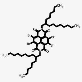 CCCCCCCCC(CCCCCC)CN1C(=O)c2c(Br)c(Br)c3c4c(c(Br)c(Br)c(c24)C1=O)C(=O)N(CC(CCCCCC)CCCCCCCC)C3=O